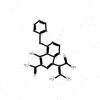 CC(=O)c1cc(C(C(=O)O)=C(C)C)c2cccc(Cc3ccccc3)c2c1O